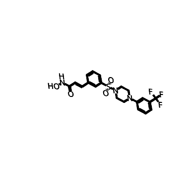 O=C(C=Cc1cccc(S(=O)(=O)N2CCN(c3cccc(C(F)(F)F)c3)CC2)c1)NO